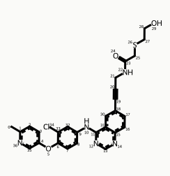 Cc1ccc(Oc2ccc(Nc3ncnc4ccc(C#CCNC(=O)CSCCO)cc34)cc2Cl)cn1